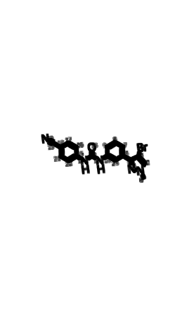 Cn1cc(Br)c(-c2cccc(NC(=O)Nc3ccc(C#N)cc3)c2)n1